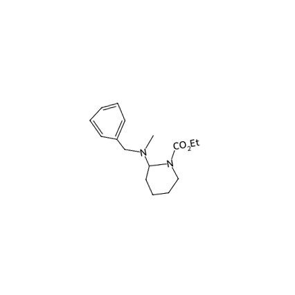 CCOC(=O)N1CCCCC1N(C)Cc1ccccc1